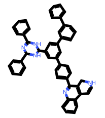 C1=Cc2c(c(-c3ccc(-c4cc(-c5cccc(-c6ccccc6)c5)cc(C5NC(c6ccccc6)=NC(c6ccccc6)N5)c4)cc3)nc3ccccc23)CN1